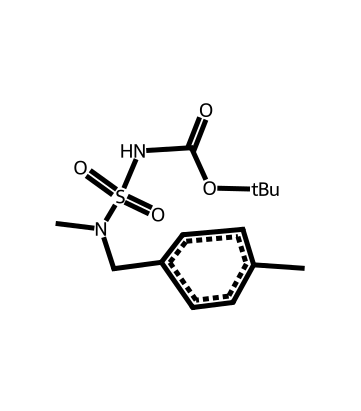 Cc1ccc(CN(C)S(=O)(=O)NC(=O)OC(C)(C)C)cc1